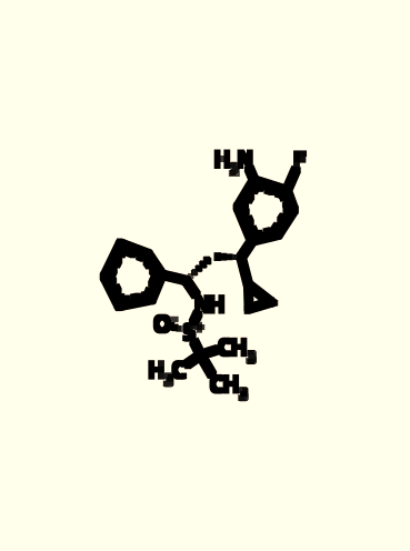 CC(C)(C)[S@+]([O-])N[C@@H](C[C@H](c1ccc(F)c(N)c1)C1CC1)c1ccccc1